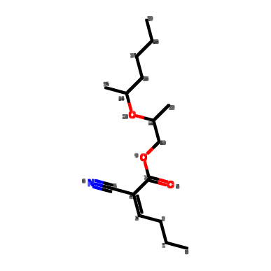 CCCC=C(C#N)C(=O)OCC(C)OC(C)CCCC